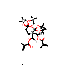 C=C(C)C(=O)OC(CC)[Si]1(C(CC)OC(=O)C(=C)C)CCC(O[Si](C)(C)C)(O[Si](C)(C)C)O[Si]1(O[Si](C)(C)C)O[Si](C)(C)C